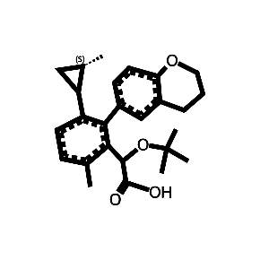 Cc1ccc(C2C[C@@H]2C)c(-c2ccc3c(c2)CCCO3)c1C(OC(C)(C)C)C(=O)O